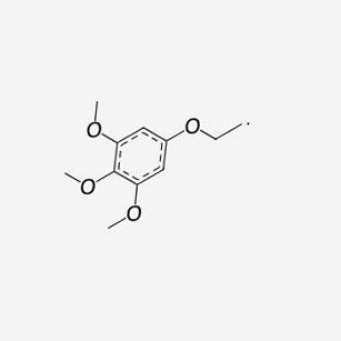 [CH2]COc1cc(OC)c(OC)c(OC)c1